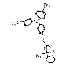 Cc1ccc([SH](c2ccc(C)cc2)c2ccc(SCC(=O)OC(C)(C)C3CCCCC3)cc2)cc1